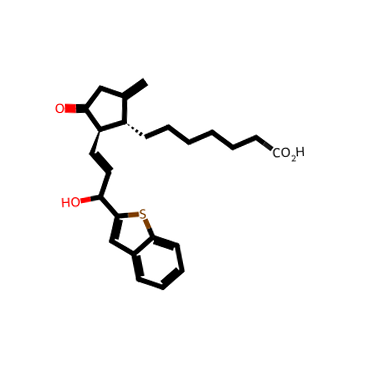 C=C1CC(=O)[C@H](C=CC(O)c2cc3ccccc3s2)[C@H]1CCCCCCC(=O)O